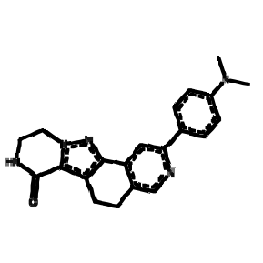 CN(C)c1ccc(-c2cc3c(cn2)CCc2c-3nn3c2C(=O)NCC3)cc1